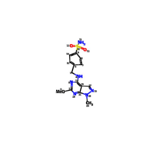 COc1nc(NCc2ccc(S(N)(=O)=O)cc2)c2cnn(C)c2n1